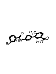 Cc1ccc(C(=O)O)cc1-c1ccc(NC(=O)c2cccc(Br)c2)cc1